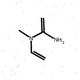 C=CN(C)C(=C)N